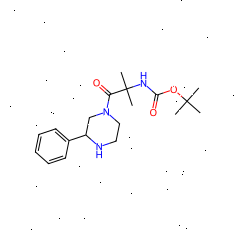 CC(C)(C)OC(=O)NC(C)(C)C(=O)N1CCNC(c2ccccc2)C1